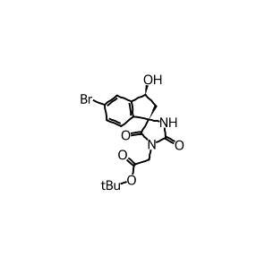 CC(C)(C)OC(=O)CN1C(=O)N[C@]2(C[C@H](O)c3cc(Br)ccc32)C1=O